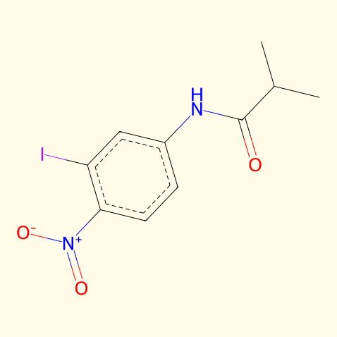 CC(C)C(=O)Nc1ccc([N+](=O)[O-])c(I)c1